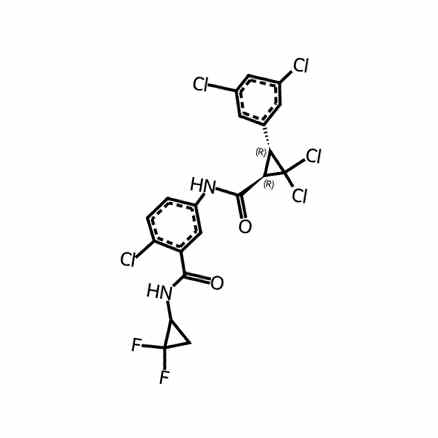 O=C(NC1CC1(F)F)c1cc(NC(=O)[C@H]2[C@H](c3cc(Cl)cc(Cl)c3)C2(Cl)Cl)ccc1Cl